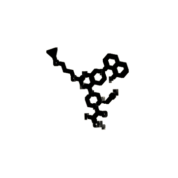 C=C(F)C(=O)N1CCN(c2nc(OCCCOC3CC3)nc3c2CCN(c2cccc4cccc(F)c24)C3)C[C@@H]1CC#N